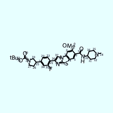 COc1cc2c(cc1C(=O)NC1CCN(C)CC1)sc1nc(-c3ccc(C4CCN(C(=O)OC(C)(C)C)C4)cc3F)cn12